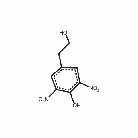 O=[N+]([O-])c1cc(CCO)cc([N+](=O)[O-])c1O